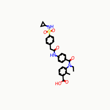 CCN(C(=O)c1ccc(NC(=O)Cc2ccc(S(=O)(=O)NC3CC3)cc2)cc1)c1cccc(C(=O)O)c1C